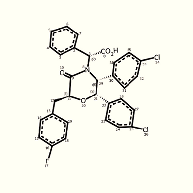 O=C(O)[C@@H](c1ccccc1)N1C(=O)[C@H](Cc2ccc(F)cc2)O[C@@H](c2ccc(Cl)cc2)[C@H]1c1ccc(Cl)cc1